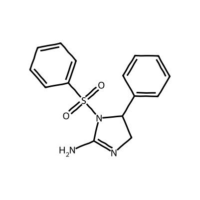 NC1=NCC(c2ccccc2)N1S(=O)(=O)c1ccccc1